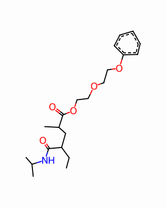 CCC(CC(C)C(=O)OCCOCCOc1ccccc1)C(=O)NC(C)C